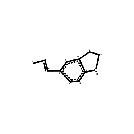 CC=Cc1ccc2c(c1)CCO2